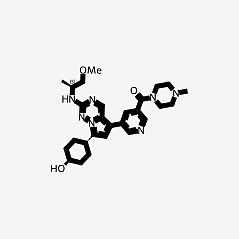 COC[C@H](C)Nc1ncc2c(-c3cncc(C(=O)N4CCN(C)CC4)c3)cc([C@H]3CC[C@H](O)CC3)n2n1